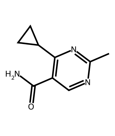 Cc1ncc(C(N)=O)c(C2CC2)n1